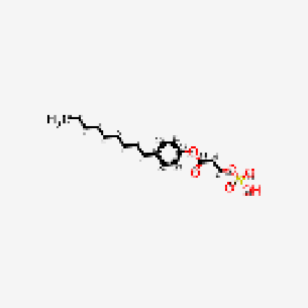 CCCCCCCCCc1ccc(OC(=O)CCOS(=O)(=O)O)cc1